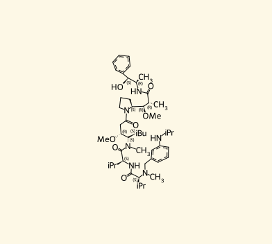 CC[C@H](C)[C@@H]([C@@H](CC(=O)N1CCC[C@H]1[C@H](OC)[C@@H](C)C(=O)N[C@H](C)[C@@H](O)c1ccccc1)OC)N(C)C(=O)[C@@H](NC(=O)[C@H](C(C)C)N(C)Cc1cccc(NC(C)C)c1)C(C)C